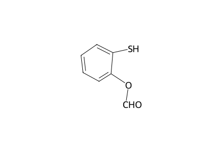 O=COc1ccccc1S